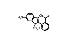 Nc1ccc2c(Cl)c(-c3ccccc3C(F)F)n(C(=O)O)c2c1